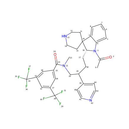 CC(=O)N1c2ccccc2C2(CCNCC2)[C@H]1CCC(CN(C)C(=O)c1cc(C(F)(F)F)cc(C(F)(F)F)c1)c1ccncc1